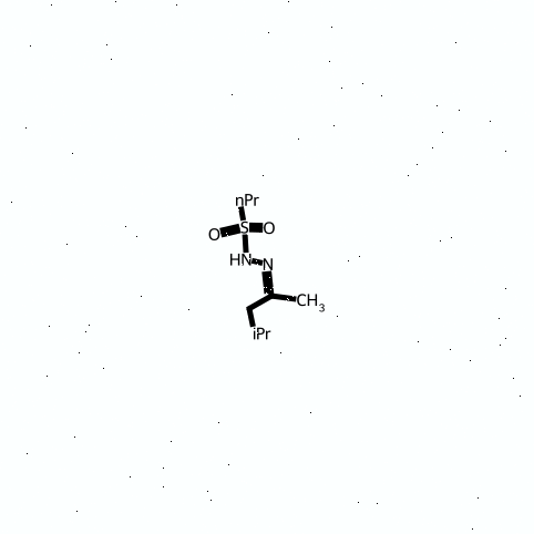 CCCS(=O)(=O)NN=C(C)CC(C)C